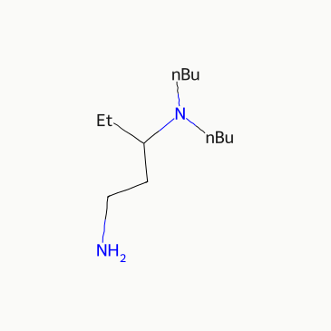 CCCCN(CCCC)C(CC)CCN